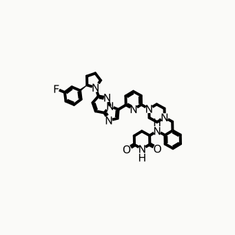 O=C1CCC(Nc2ccccc2CN2CCN(c3cccc(-c4cnc5ccc(N6CCC[C@@H]6c6cccc(F)c6)nn45)n3)CC2)C(=O)N1